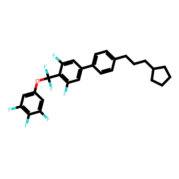 Fc1cc(OC(F)(F)c2c(F)cc(-c3ccc(CCCC4CCCC4)cc3)cc2F)cc(F)c1F